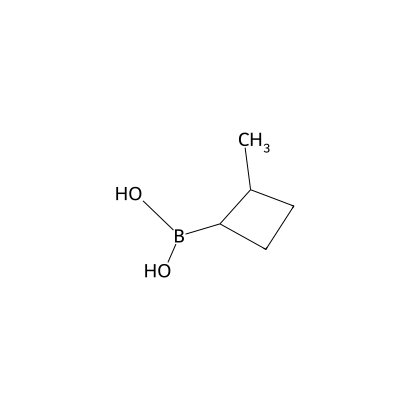 CC1CCC1B(O)O